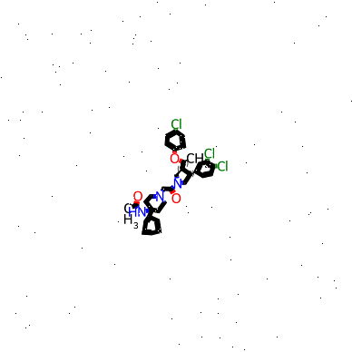 CC(=O)NC1(c2ccccc2)CCN(CC(=O)N2C[C@@H]([C@@H](C)Oc3ccc(Cl)cc3)[C@H](c3ccc(Cl)c(Cl)c3)C2)CC1